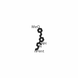 CCCCCC=Cc1ccc2c(n1)[nH]c1ccc(C=Cc3ccc(OC)cc3)cc12